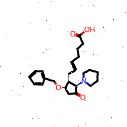 O=C(O)CCC/C=C/C[C@H]1[C@@H](OCc2ccccc2)CC(=O)[C@@H]1N1CCCCC1